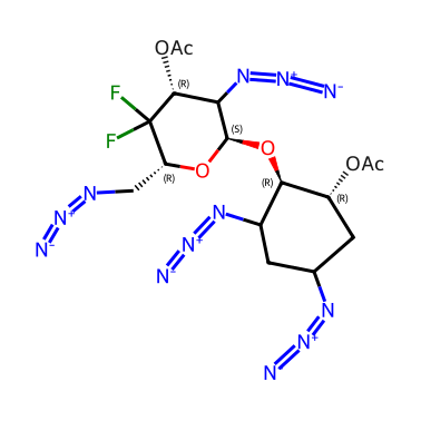 CC(=O)O[C@@H]1C(N=[N+]=[N-])[C@@H](O[C@@H]2C(N=[N+]=[N-])CC(N=[N+]=[N-])C[C@H]2OC(C)=O)O[C@H](CN=[N+]=[N-])C1(F)F